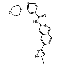 Cn1cc(-c2ccc3nnc(NC(=O)c4ccnc(N5CCOCC5)c4)cc3c2)nn1